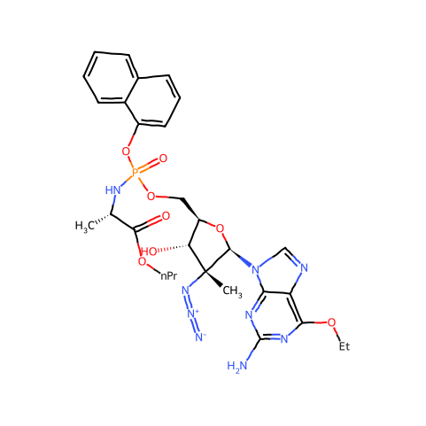 CCCOC(=O)[C@H](C)NP(=O)(OC[C@H]1O[C@@H](n2cnc3c(OCC)nc(N)nc32)[C@](C)(N=[N+]=[N-])[C@@H]1O)Oc1cccc2ccccc12